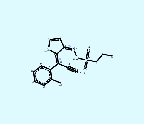 CCCS(=O)(=O)O/N=C1/C=CS/C1=C(/C#N)c1ccccc1C